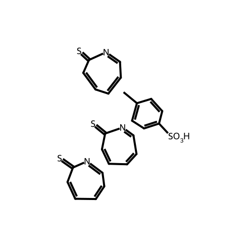 Cc1ccc(S(=O)(=O)O)cc1.S=c1cccccn1.S=c1cccccn1.S=c1cccccn1